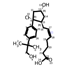 CC(C)(CO)c1ccc([C@@]2(Cl)C[C@H](O)C[C@H]2C/C=C\CCCC(=O)O)cc1